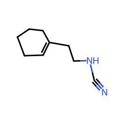 N#CNCCC1=CCCCC1